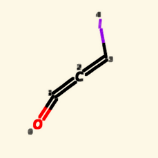 O=C=C=CI